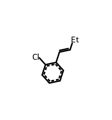 [CH2]CC=Cc1ccccc1Cl